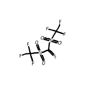 O=S(=O)(C(=S)S(=O)(=O)C(F)(F)F)C(F)(F)F